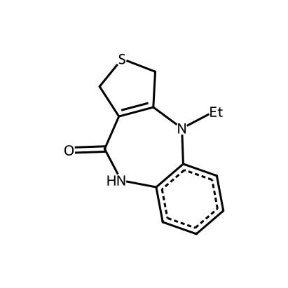 CCN1C2=C(CSC2)C(=O)Nc2ccccc21